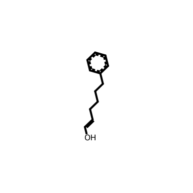 OC=CCCCCc1ccccc1